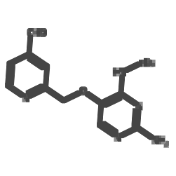 CCCCNc1nc(N)ncc1OCc1cc(C=O)ccn1